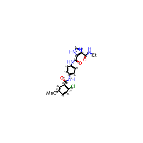 CCNC(=O)c1nc[nH]c1C(=O)Nc1ccc(NC(=O)c2cc(OC)ccc2Cl)cc1